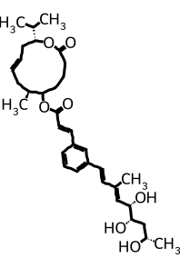 CC(/C=C/c1cccc(/C=C/C(=O)OC2CCCC(=O)O[C@@H](C(C)C)C/C=C/C[C@@H]2C)c1)=C\[C@H](O)[C@@H](O)C[C@H](C)O